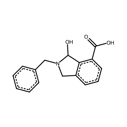 O=C(O)c1cccc2c1C(O)N(Cc1ccccc1)C2